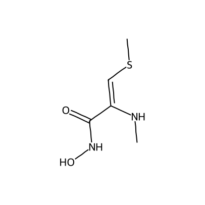 CN/C(=C\SC)C(=O)NO